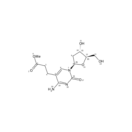 COC(=O)CCc1cn([C@H]2C[C@H](O)[C@@H](CO)O2)c(=O)nc1N